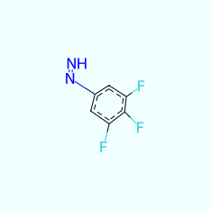 N=Nc1cc(F)c(F)c(F)c1